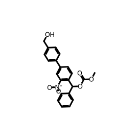 COC(=O)OC(c1ccccc1)c1ccc(-c2ccc(CO)cc2)cc1[N+](=O)[O-]